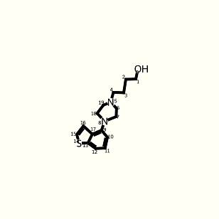 OCCCCN1CCN(c2cccc3sccc23)CC1